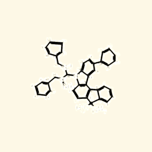 CC1(C)c2ccccc2-c2c1ccc1c2c2cc(-c3ccccc3)ccc2n1C(NCc1ccccc1)N(N)Cc1ccccc1